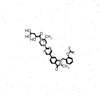 C[C@@H]1CN(c2ncc(-c3ccc4c(=O)n(C)n(Cc5ccccc5OC(F)F)c4c3)cn2)CCN1C(=O)[C@H](O)CC(O)O